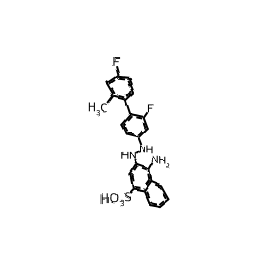 Cc1cc(F)ccc1-c1ccc(NNc2cc(S(=O)(=O)O)c3ccccc3c2N)cc1F